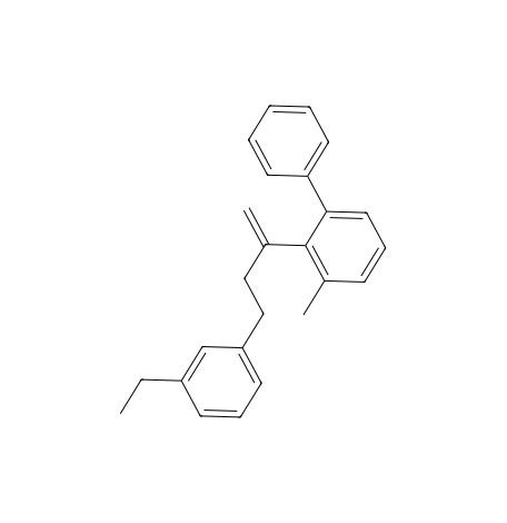 C=C(CCc1cccc(CC)c1)c1c(C)cccc1-c1ccccc1